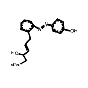 CCCCCCCCCCCC(O)C=CCc1ccccc1N=Nc1ccc(O)cc1